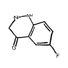 O=C1C[N]Nc2ccc(F)cc21